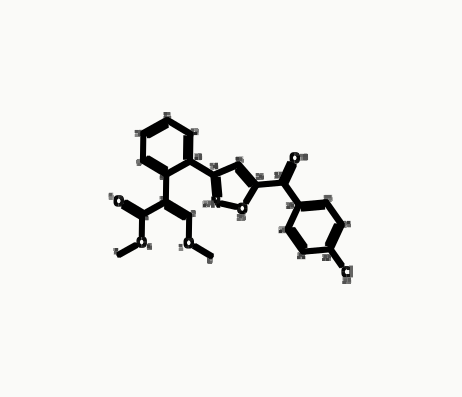 CO/C=C(\C(=O)OC)c1ccccc1-c1cc(C(=O)c2ccc(Cl)cc2)on1